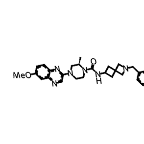 COc1ccc2nc(N3CCN(C(=O)NC4CC5(C4)CN(Cc4ccccc4)C5)[C@H](C)C3)cnc2c1